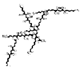 CCCCCC(O)C(O)CC(O)C(O)CCCC(=O)OC(CCCCC)C(O)CC(O)C(O)CCCC(=O)OC(CC(OC(=O)CCCC(O)C(O)CC(O)C(CCCCC)OC(=O)CCCC(O)C(O)CC(O)C(O)CCCCC)C(CCCCCCCC(=O)OC)OC(C)C)C(CCCCC)OC(=O)CCCC(O)C(O)CC(O)C(O)CCCCC